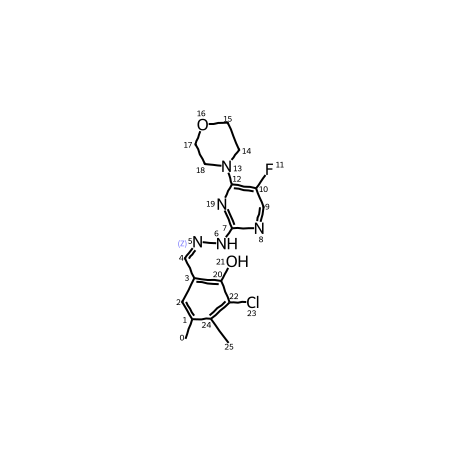 Cc1cc(/C=N\Nc2ncc(F)c(N3CCOCC3)n2)c(O)c(Cl)c1C